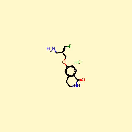 Cl.NC/C(=C/F)COc1ccc2c(c1)CCNC2=O